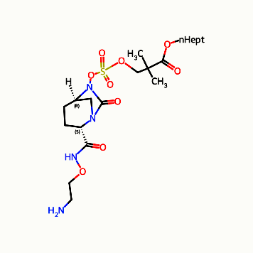 CCCCCCCOC(=O)C(C)(C)COS(=O)(=O)ON1C(=O)N2C[C@H]1CC[C@H]2C(=O)NOCCN